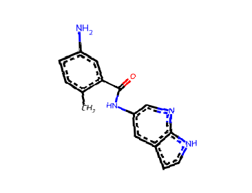 Cc1ccc(N)cc1C(=O)Nc1cnc2[nH]ccc2c1